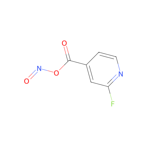 O=NOC(=O)c1ccnc(F)c1